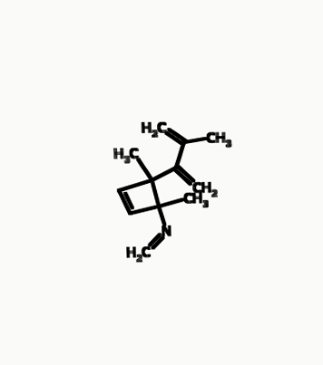 C=NC1(C)C=CC1(C)C(=C)C(=C)C